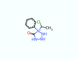 CC(Cl)[N+]1(c2ccccc2)NNNC1=O